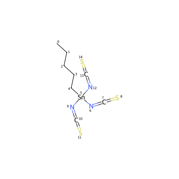 CCCC[CH2][Sn]([N]=C=S)([N]=C=S)[N]=C=S